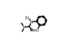 CCN(c1ccccc1OC)C(C)N(C)C